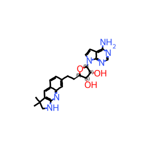 CC1(C)CNc2nc3cc(CC[C@H]4O[C@@H](n5ccc6c(N)ncnc65)[C@H](O)[C@@H]4O)ccc3cc21